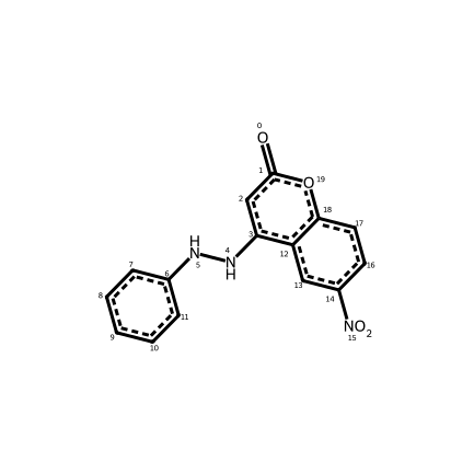 O=c1cc(NNc2ccccc2)c2cc([N+](=O)[O-])ccc2o1